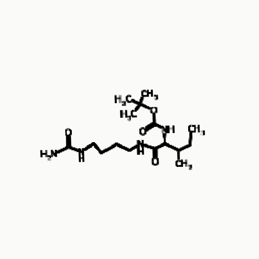 CCC(C)[C@H](NC(=O)OC(C)(C)C)C(=O)NCCCCNC(N)=O